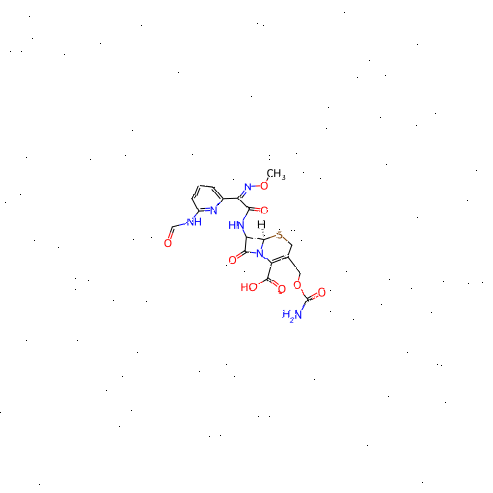 CO/N=C(\C(=O)NC1C(=O)N2C(C(=O)O)=C(COC(N)=O)CS[C@H]12)c1cccc(NC=O)n1